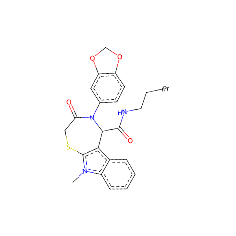 CC(C)CCNC(=O)C1c2c(n(C)c3ccccc23)SCC(=O)N1c1ccc2c(c1)OCO2